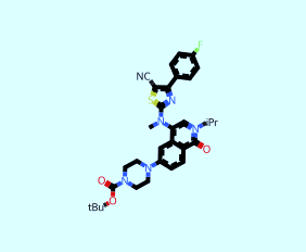 CC(C)n1cc(N(C)c2nc(-c3ccc(F)cc3)c(C#N)s2)c2cc(N3CCN(C(=O)OC(C)(C)C)CC3)ccc2c1=O